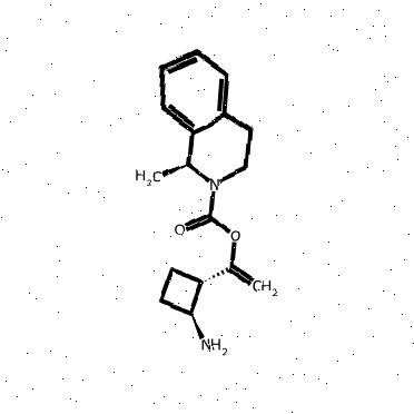 C=C(OC(=O)N1CCc2ccccc2[C@@H]1C)[C@H]1CC[C@@H]1N